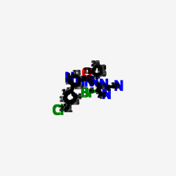 N#Cc1ncc(Br)c(N(NC(=O)c2cncc(-c3ccc(CCl)cc3)c2)C2CCCC2)n1